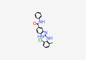 Cc1cccc(Cl)c1Nc1nc2cc(C(=O)Nc3ccccc3)ccc2[nH]1